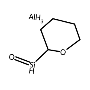 O=[SiH]C1CCCCO1.[AlH3]